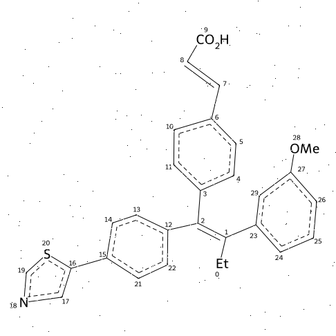 CC/C(=C(/c1ccc(/C=C/C(=O)O)cc1)c1ccc(-c2cncs2)cc1)c1cccc(OC)c1